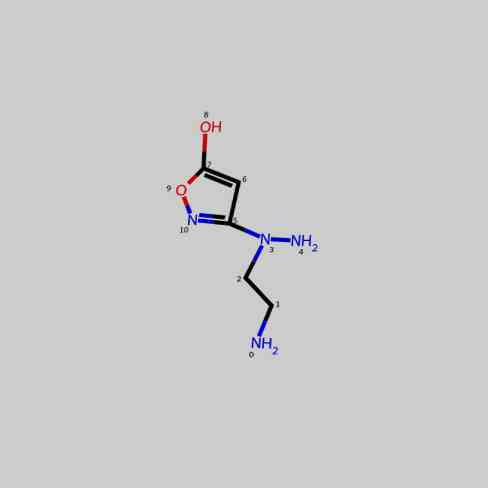 NCCN(N)c1cc(O)on1